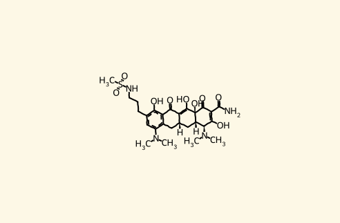 CN(C)c1cc(CCCNS(C)(=O)=O)c(O)c2c1C[C@H]1C[C@H]3[C@H](N(C)C)C(O)=C(C(N)=O)C(=O)[C@@]3(O)C(O)=C1C2=O